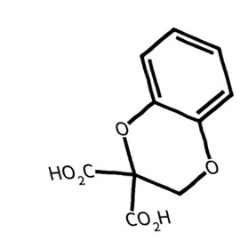 O=C(O)C1(C(=O)O)COc2ccccc2O1